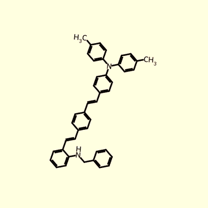 Cc1ccc(N(c2ccc(C)cc2)c2ccc(C=Cc3ccc(C=Cc4ccccc4NCc4ccccc4)cc3)cc2)cc1